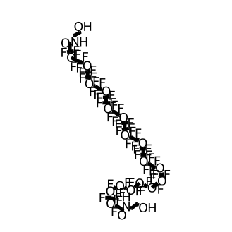 O=C(NCCO)C(F)(F)OC(F)(F)OC(F)(F)OC(F)(F)OC(F)(F)OC(F)(F)OC(F)(F)OC(F)(F)OC(F)(F)C(F)(F)OC(F)(F)C(F)(F)OC(F)(F)C(F)(F)OC(F)(F)C(F)(F)OC(F)(F)C(F)(F)OC(F)(F)C(F)(F)OC(F)(F)C(F)(F)OC(F)(F)C(F)(F)OC(F)(F)C(F)(F)OC(F)(F)C(=O)NCCO